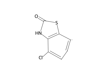 O=c1[nH]c2c(Cl)cc[c]c2s1